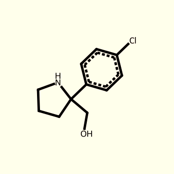 OCC1(c2ccc(Cl)cc2)CCCN1